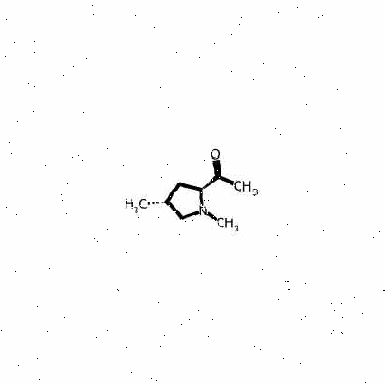 CC(=O)[C@@H]1C[C@@H](C)CN1C